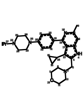 Cc1cc2[nH]c(CN3CCOCC3)c(C3CC3)c2c(-c2ccc(N3CCN(C(C)C)CC3)cc2)n1